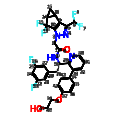 O=C(Cn1nc(C(F)F)c2c1C(F)(F)C1CC21)N[C@@H](Cc1cc(F)cc(F)c1)c1ncccc1-c1ccc(OCCO)cc1